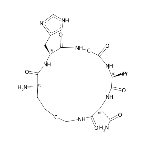 CC(C)[C@@H]1NC(=O)CNC(=O)[C@H](Cc2c[nH]cn2)NC(=O)[C@@H](N)CCCCNC(=O)[C@@H](C(N)=O)NC1=O